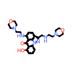 O=c1c2c(O)cccc2n2nc(CNCCN3CCOCC3)c3ccc(NCCN4CCOCC4)c1c32